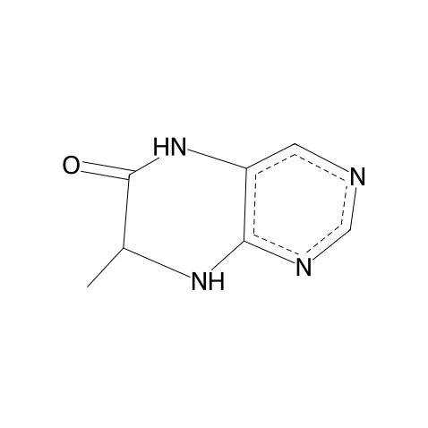 CC1Nc2ncncc2NC1=O